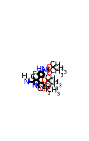 COC(=O)[C@@H](OC(C)(C)C)c1c(C)nc(C#N)c(C)c1-c1ccc(NC(=O)OC(C)(C)C)cc1F